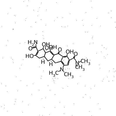 CN(C)C(=O)c1cc(N(C)C)c2c(c1O)C(=O)C1=C(O)[C@]3(O)C(O)C(C(N)=O)=C(O)C[C@@H]3C[C@@H]1C2